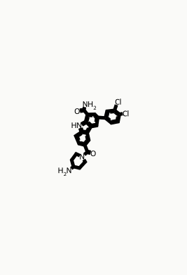 NC(=O)c1cc(-c2ccc(Cl)c(Cl)c2)cc2c1[nH]c1ccc(C(=O)N3CCC(N)CC3)cc12